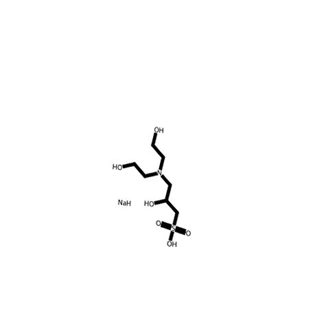 O=S(=O)(O)CC(O)CN(CCO)CCO.[NaH]